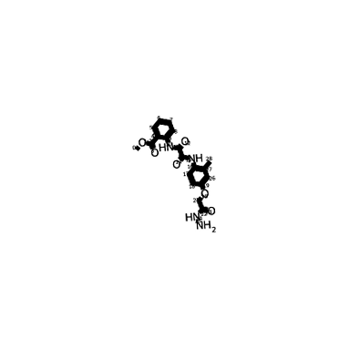 COC(=O)c1ccccc1NC(=O)C(=O)Nc1ccc(OCC(=O)NN)cc1C